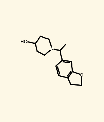 CC(c1ccc2c(c1)OCC2)N1CCC(O)CC1